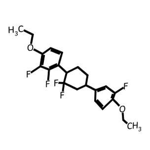 CCOc1ccc(C2CCC(c3ccc(OCC)c(F)c3F)C(F)(F)C2)cc1F